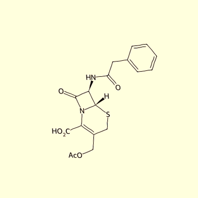 CC(=O)OCC1=C(C(=O)O)N2C(=O)[C@@H](NC(=O)Cc3ccccc3)[C@@H]2SC1